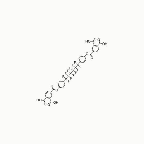 O=C(Oc1ccc(C(F)(F)C(F)(F)C(F)(F)C(F)(F)C(F)(F)C(F)(F)c2ccc(OC(=O)c3ccc(C(=O)O)c(C(=O)O)c3)cc2)cc1)c1ccc(C(=O)O)c(C(=O)O)c1